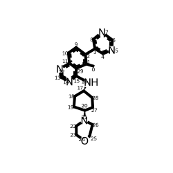 Cc1c(-c2cncnc2)ccc2ncnc(N[C@H]3CC[C@H](N4CCOCC4)CC3)c12